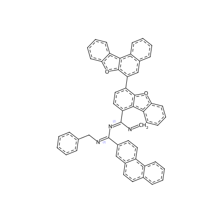 C=N/C(=N\C(=N/Cc1ccccc1)c1ccc2c(ccc3ccccc32)c1)c1ccc(-c2cc3ccccc3c3c2oc2ccccc23)c2oc3ccccc3c12